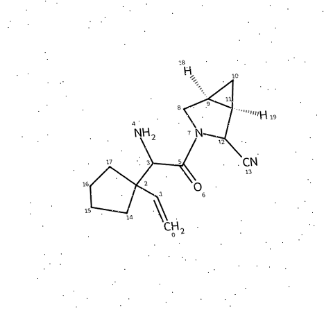 C=CC1(C(N)C(=O)N2C[C@H]3C[C@H]3C2C#N)CCCC1